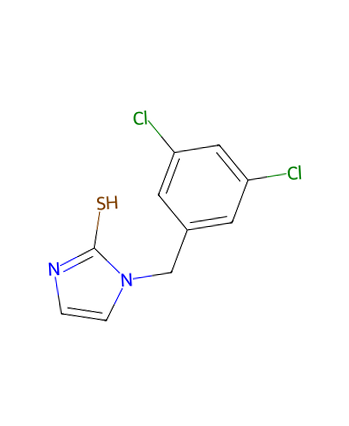 Sc1nccn1Cc1cc(Cl)cc(Cl)c1